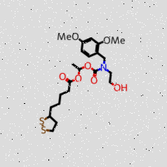 COc1ccc(CN(CCO)C(=O)OC(C)OC(=O)CCCCC2CCSS2)c(OC)c1